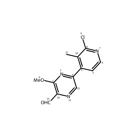 COc1nc(-c2ccnc(Cl)c2C)cnc1C=O